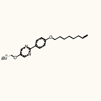 C=CCCCCCCOc1ccc(-c2ncc(OC[C@@H](C)CC)cn2)cc1